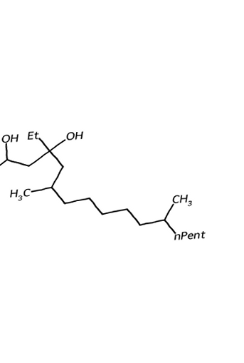 CCCCCC(C)CCCCCC(C)CC(O)(CC)CC(O)O